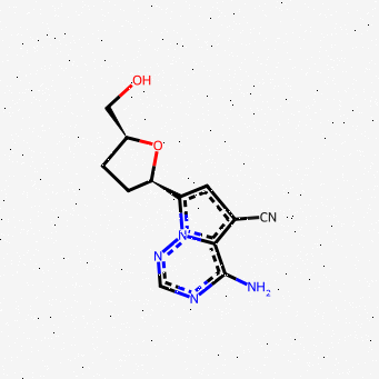 N#Cc1cc([C@H]2CC[C@@H](CO)O2)n2ncnc(N)c12